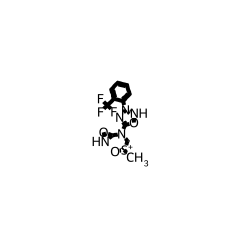 C[S+]([O-])CN(C1=NN(c2ccccc2C(F)(F)F)NO1)C1NO1